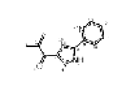 C=C(C)C(=O)c1n[nH]c(-c2ccccn2)n1